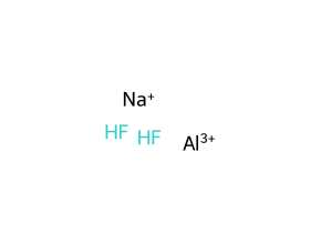 F.F.[Al+3].[Na+]